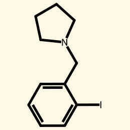 Ic1ccccc1CN1CCCC1